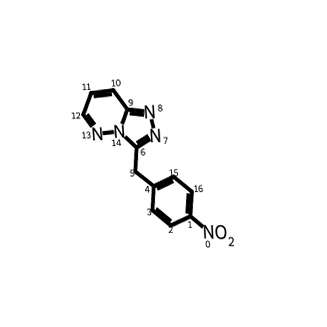 O=[N+]([O-])c1ccc(Cc2nnc3cccnn23)cc1